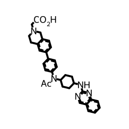 CC(=O)N(c1ccc(-c2ccc3c(c2)CCN(CC(=O)O)C3)cc1)C1CCC(Nc2ncc3ccccc3n2)CC1